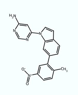 Cc1ccc([N+](=O)[O-])cc1-c1ccc2ccn(-c3cc(N)ncn3)c2c1